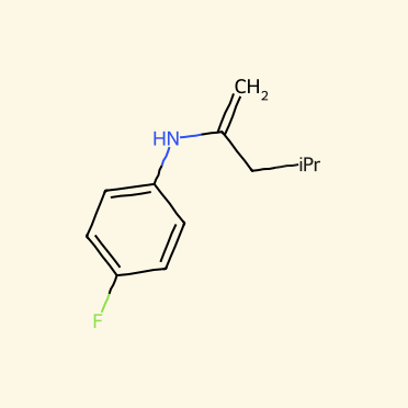 C=C(CC(C)C)Nc1ccc(F)cc1